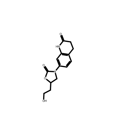 O=C1CCc2ccc(N3CC(CCO)OC3=O)cc2N1